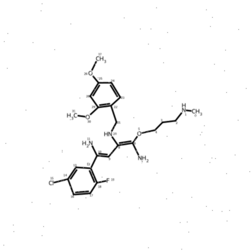 CNCCCO/C(N)=C(/C=C(\N)c1cc(Cl)ccc1F)NCc1ccc(OC)cc1OC